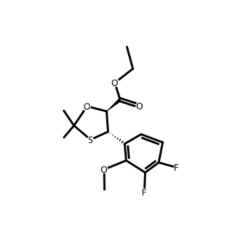 CCOC(=O)[C@@H]1OC(C)(C)S[C@H]1c1ccc(F)c(F)c1OC